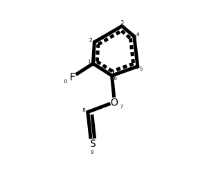 Fc1ccc[c]c1OC=S